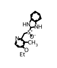 CCOc1ccnc(C[S+]([O-])C2Nc3ccccc3N2)c1C